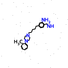 CC1C=CC=CC=C1N1CCN(CCCCCc2ccc(C=N)c(N)c2)CC1